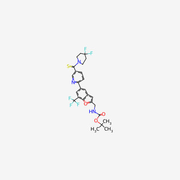 CC(C)(C)OC(=O)NCc1cc2cc(-c3ccc(C(=S)N4CCC(F)(F)CC4)cn3)cc(C(F)(F)F)c2o1